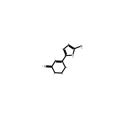 O=C1C=C(c2ccc(Br)o2)CCC1